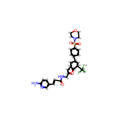 Nc1ccc(C=CC(=O)NCc2cc3cc(-c4ccc(S(=O)(=O)N5CCOCC5)cc4)cc(C(F)(F)F)c3o2)cn1